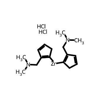 CN(C)CC1=[C]([Zr][C]2=C(CN(C)C)C=CC2)CC=C1.Cl.Cl